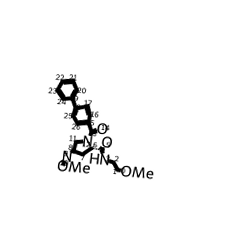 COCCNC(=O)[C@@H]1CC(=NOC)CN1C(=O)c1ccc(-c2ccccc2)cc1